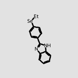 CC[Se]c1ccc(-c2nc3ccccc3[nH]2)cc1